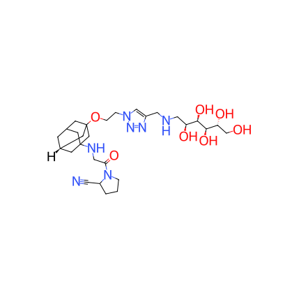 N#CC1CCCN1C(=O)CNC12CC3C[C@@H](C1)CC(OCCn1cc(CNC[C@H](O)[C@@H](O)[C@H](O)[C@H](O)CO)nn1)(C3)C2